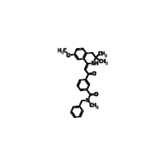 COc1ccc2c(c1)/C(=C/C(=O)c1cccc(C(=O)N(C)Cc3ccccc3)c1)NC(C)(C)C2